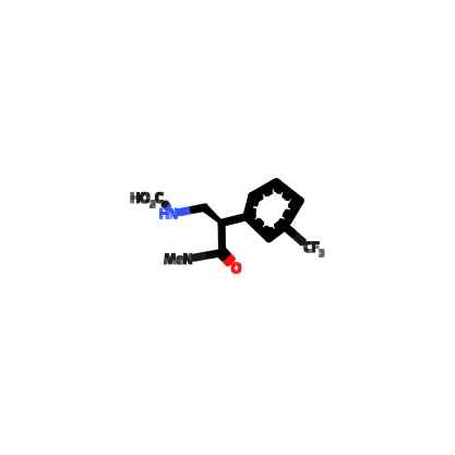 CNC(=O)[C@@H](CNC(=O)O)c1cccc(C(F)(F)F)c1